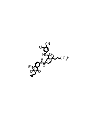 CC(C)n1c(=O)n(CC2CC2)c(=O)c2cc(NC(=O)N3CCN(C(=O)CCCC(=O)O)C(C(=O)Nc4ccc(C#N)c(Cl)c4)C3)ccc21